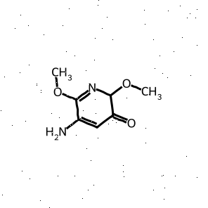 COC1=NC(OC)C(=O)C=C1N